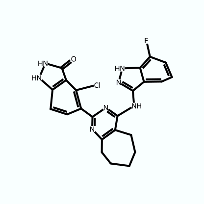 O=c1[nH][nH]c2ccc(-c3nc4c(c(Nc5n[nH]c6c(F)cccc56)n3)CCCCC4)c(Cl)c12